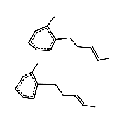 CC=CCCc1ccccc1C.CC=CCCc1ccccc1C